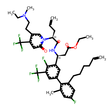 C=CCCCCc1cc(F)cc(C)c1-c1cc([C@H](CC(=O)OCC)NC(=O)[C@H](CC=C)n2cc(CCN(C)CC)c(C(F)(F)F)cc2=O)c(F)c(C(F)(F)F)c1